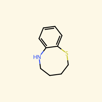 c1ccc2c(c1)NCCCCS2